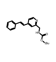 CC(C)(C)OC(=O)NCc1cc(/C=C/c2ccccc2)ccn1